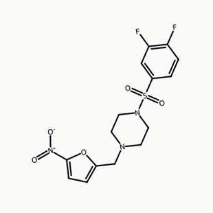 O=[N+]([O-])c1ccc(CN2CCN(S(=O)(=O)c3ccc(F)c(F)c3)CC2)o1